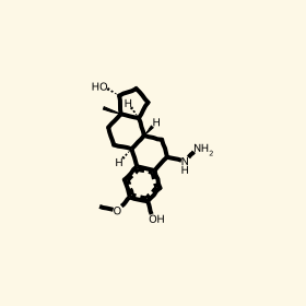 COc1cc2c(cc1O)C(NN)C[C@@H]1[C@@H]2CC[C@]2(C)[C@H](O)CC[C@@H]12